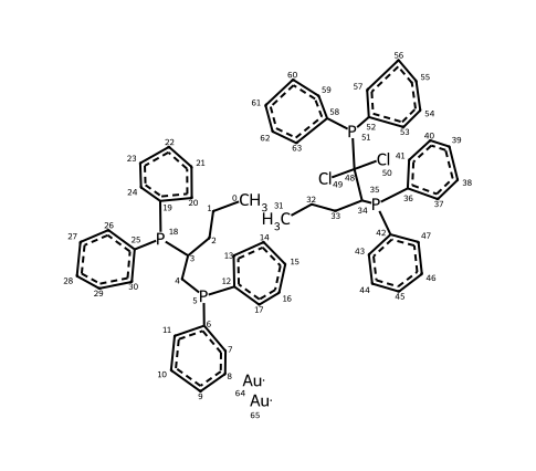 CCCC(CP(c1ccccc1)c1ccccc1)P(c1ccccc1)c1ccccc1.CCCC(P(c1ccccc1)c1ccccc1)C(Cl)(Cl)P(c1ccccc1)c1ccccc1.[Au].[Au]